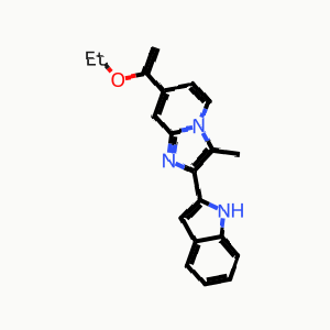 C=C(OCC)c1ccn2c(C)c(-c3cc4ccccc4[nH]3)nc2c1